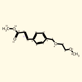 COCCOCc1ccc(/C=C/C(=O)OC)cc1